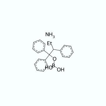 CCC(c1ccccc1)C(OB(O)O)(c1ccccc1)c1ccccc1.N